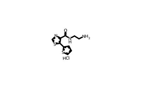 Cl.NCCNC(=O)c1ncsc1-c1cccs1